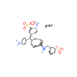 CN(C)c1ccc(/C(=C2/C=CC(=[N+](C)C)C(S(=O)(=O)[O-])=C2)c2ccc(N(C)Cc3cccc(S(=O)(=O)[O-])c3)cc2)cc1.[Na+]